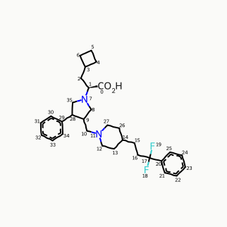 O=C(O)[C@H](CC1CCC1)N1CC(CN2CCC(CCC(F)(F)c3ccccc3)CC2)C(c2ccccc2)C1